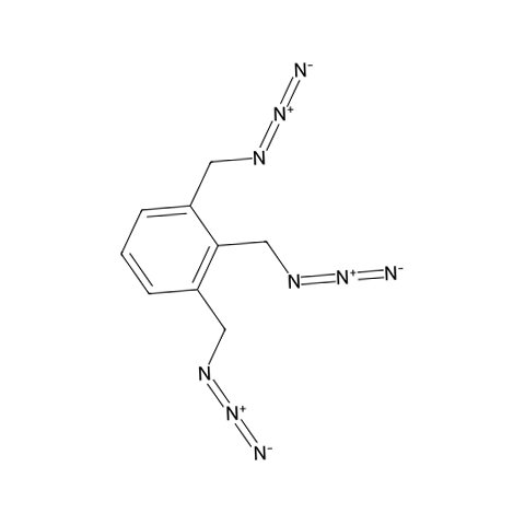 [N-]=[N+]=NCc1cccc(CN=[N+]=[N-])c1CN=[N+]=[N-]